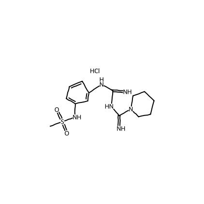 CS(=O)(=O)Nc1cccc(NC(=N)NC(=N)N2CCCCC2)c1.Cl